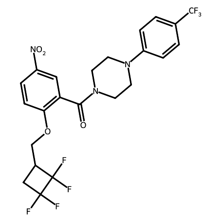 O=C(c1cc([N+](=O)[O-])ccc1OCC1CC(F)(F)C1(F)F)N1CCN(c2ccc(C(F)(F)F)cc2)CC1